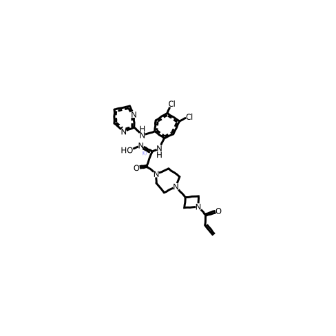 C=CC(=O)N1CC(N2CCN(C(=O)/C(=N\O)Nc3cc(Cl)c(Cl)cc3Nc3ncccn3)CC2)C1